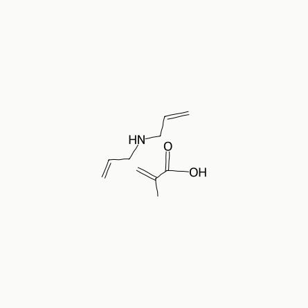 C=C(C)C(=O)O.C=CCNCC=C